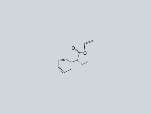 C=COC(=O)C(CC)c1ccccc1